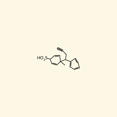 C#CCC(c1ccccc1)C1(C)C=CC(S(=O)(=O)O)C=C1